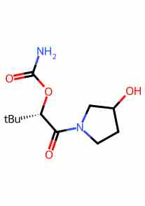 CC(C)(C)[C@H](OC(N)=O)C(=O)N1CCC(O)C1